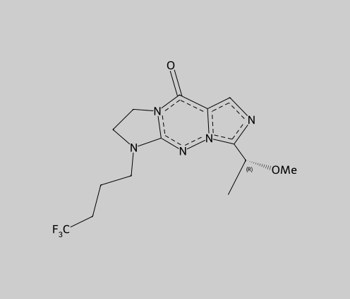 CO[C@H](C)c1ncc2c(=O)n3c(nn12)N(CCCC(F)(F)F)CC3